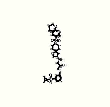 O=S(=O)(c1cccc(OCC(O)CN[C@H]2COC3(CCN(S(=O)(=O)c4cnc5c(c4)CCCO5)CC3)C2)c1)C1CC1